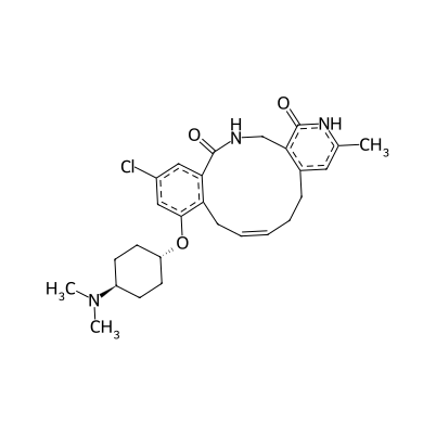 Cc1cc2c(c(=O)[nH]1)CNC(=O)c1cc(Cl)cc(O[C@H]3CC[C@H](N(C)C)CC3)c1C/C=C\CC2